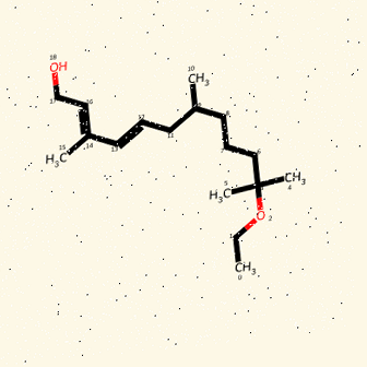 CCOC(C)(C)CCCC(C)CC=CC(C)=CCO